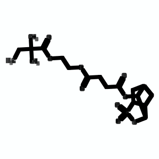 CCC(C)(C)C(=O)OCCOC(=O)CCC(=O)OC1C2CC3C1OS(=O)(=O)C3C2